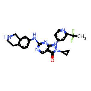 CC(F)(F)c1cc(-n2c3nc(Nc4ccc5c(c4)CNCC5)ncc3c(=O)n2C2CC2)ccn1